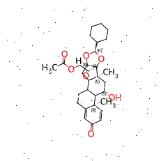 CC(=O)OCC(=O)[C@@]12O[C@H](C3CCCCC3)O[C@@H]1CC1C3CCC4=CC(=O)C=C[C@]4(C)C3[C@@H](O)C[C@@]12C